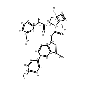 CC(=O)c1cn(CC(=O)N2[C@@H]3C#C[C@@H]3C[C@H]2C(=O)Nc2cccc(Br)n2)c2ccc(-c3cnc(C)nc3)cc12